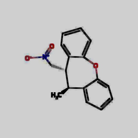 C[C@@H]1c2ccccc2Oc2ccccc2[C@H]1C[N+](=O)[O-]